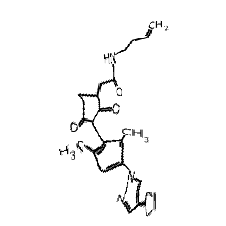 C=CCCNC(=O)CC1CC(=O)C(c2c(C)cc(-n3cc(Cl)cn3)cc2C)C1=O